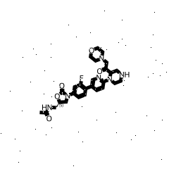 CC(=O)NC[C@H]1CN(c2ccc(-c3ccc(N4CCNCC4C(=O)CN4CCOCC4)nc3)c(F)c2)C(=O)O1